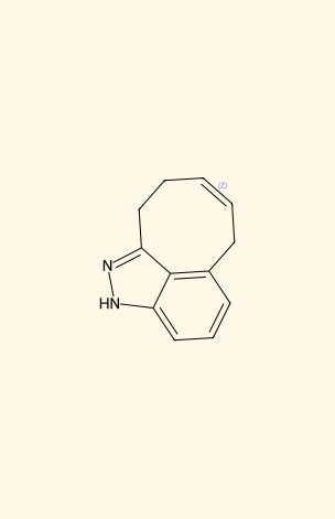 C1=C\Cc2cccc3[nH]nc(c23)CC/1